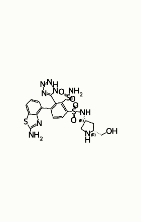 Nc1nc2c(-c3ccc(S(=O)(=O)N[C@H]4CN[C@@H](CO)C4)c(S(N)(=O)=O)c3-c3nnn[nH]3)cccc2s1